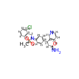 CS(=O)(=O)N(Cc1ccccc1Cl)c1ccc(C(CC(N)=O)c2cccnc2)cc1